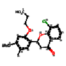 COc1cc(OCCC(=O)O)c(C2CC(=O)c3cccc(Cl)c3O2)cc1C